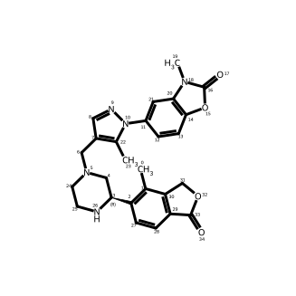 Cc1c([C@@H]2CN(Cc3cnn(-c4ccc5oc(=O)n(C)c5c4)c3C)CCN2)ccc2c1COC2=O